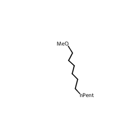 [CH2]OCCCCCCCCCCC